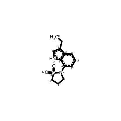 CCc1c[nH]c2c(N3CCCS3(=O)=O)cccc12